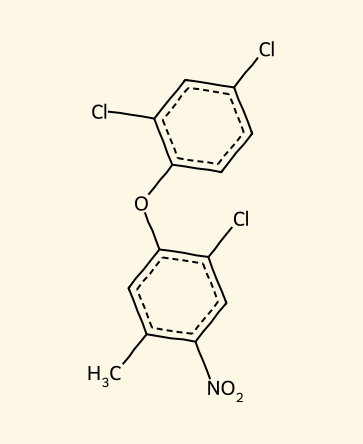 Cc1cc(Oc2ccc(Cl)cc2Cl)c(Cl)cc1[N+](=O)[O-]